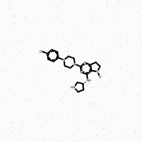 [O-][S+]1CCc2nc(N3CCN(c4ccc(Cl)cc4)CC3)nc(N[C@@H]3CCNC3)c21